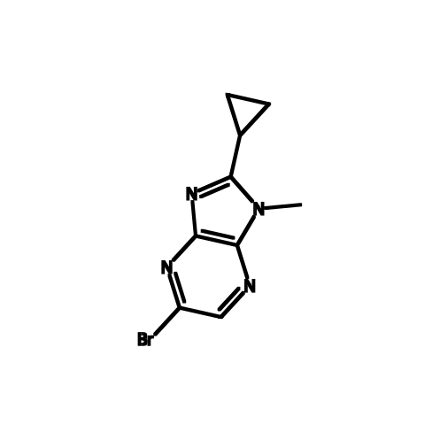 Cn1c(C2CC2)nc2nc(Br)cnc21